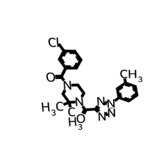 Cc1cccc(-n2nnc(C(=O)N3CCN(C(=O)c4cccc(Cl)c4)CC3(C)C)n2)c1